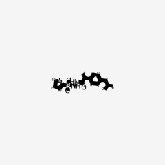 CC(C)Cc1ccc(C(C)C(=O)NNS(=O)(=O)c2cccs2)cc1